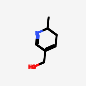 CC1CC=C(CO)C=N1